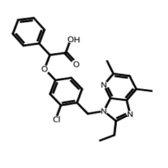 CCc1nc2c(C)cc(C)nc2n1Cc1ccc(OC(C(=O)O)c2ccccc2)cc1Cl